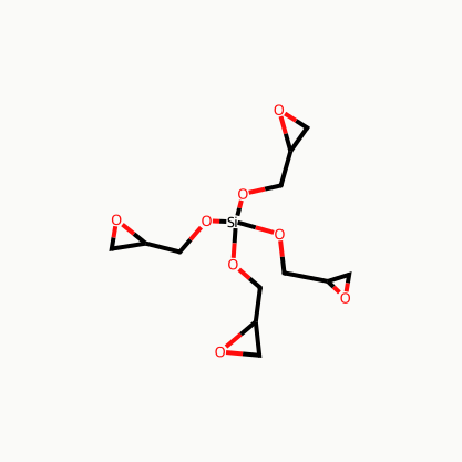 C1OC1CO[Si](OCC1CO1)(OCC1CO1)OCC1CO1